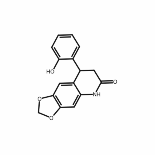 O=C1CC(c2ccccc2O)c2cc3c(cc2N1)OCO3